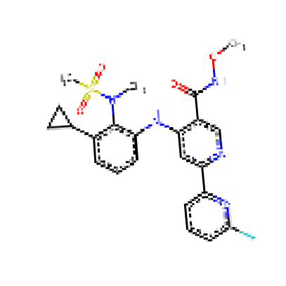 CONC(=O)c1cnc(-c2cccc(F)n2)cc1Nc1cccc(C2CC2)c1N(C)S(C)(=O)=O